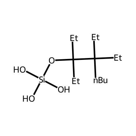 CCCCC(CC)(CC)C(CC)(CC)O[Si](O)(O)O